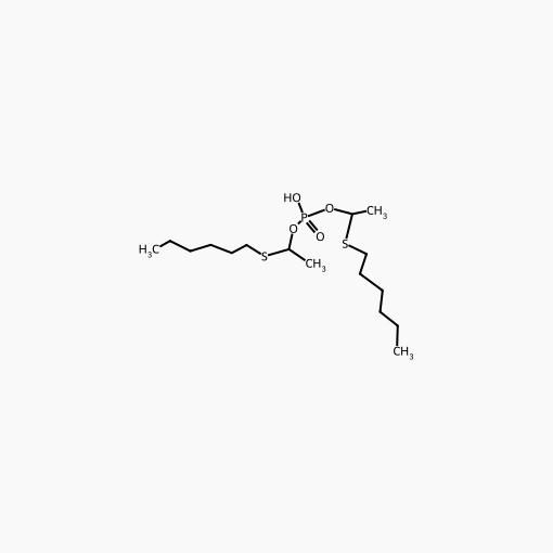 CCCCCCSC(C)OP(=O)(O)OC(C)SCCCCCC